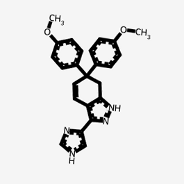 COc1ccc(C2(c3ccc(OC)cc3)C=Cc3c(-c4c[nH]cn4)n[nH]c3C2)cc1